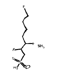 N.O=S(=O)(O)CC(F)C(F)CCCCF